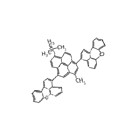 Cc1cc(-c2ccc3c4c(cccc24)Oc2ccccc2-3)c2ccc3c([Si](C)(C)C)ccc4c(-c5ccc6c7c(cccc57)Oc5ccccc5-6)cc1c2c43